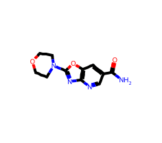 NC(=O)c1cnc2nc(N3CCOCC3)oc2c1